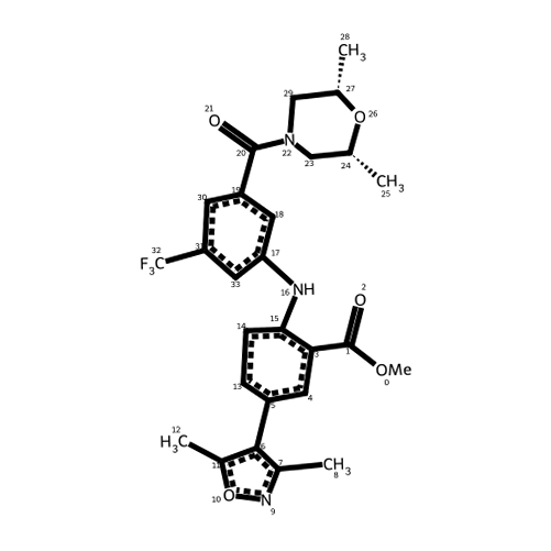 COC(=O)c1cc(-c2c(C)noc2C)ccc1Nc1cc(C(=O)N2C[C@@H](C)O[C@@H](C)C2)cc(C(F)(F)F)c1